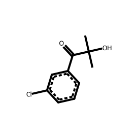 CC(C)(O)C(=O)c1cccc(Cl)c1